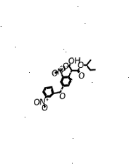 CCC(C)OC(=O)C(C(=O)O)c1ccc(C(=O)c2cccc([N+](=O)[O-])c2)cc1[N+](=O)[O-]